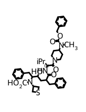 CC(C)[C@H](NC(=O)C(Cc1ccccc1)CC(O)C(Cc1ccccc1)N(C(=O)O)C1CSC1)C(=O)N1CCC(N(C)C(=O)OCc2ccccc2)CC1